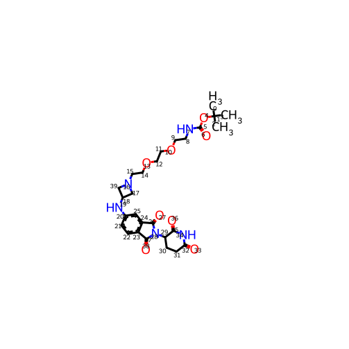 CC(C)(C)OC(=O)NCCOCCOCCN1CC(Nc2ccc3c(c2)C(=O)N(C2CCC(=O)NC2=O)C3=O)C1